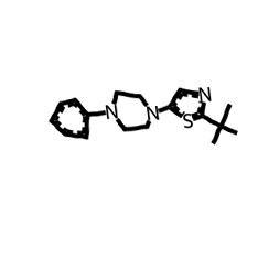 CC(C)(C)c1ncc(N2CCN(c3ccccc3)CC2)s1